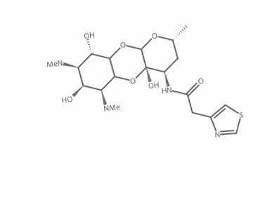 CN[C@@H]1[C@H](O)[C@H](NC)C2O[C@]3(O)C(OC2[C@H]1O)O[C@H](C)C[C@H]3NC(=O)Cc1cscn1